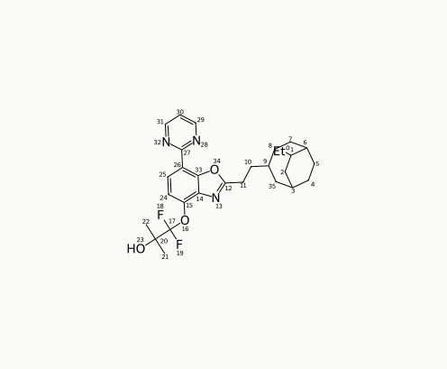 CCC1CC2CCC1CCC(CCc1nc3c(OC(F)(F)C(C)(C)O)ccc(-c4ncccn4)c3o1)C2